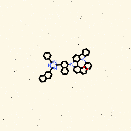 c1ccc(-c2nc(-c3ccc4ccccc4c3)nc(-c3ccc(-n4c5ccc6ccccc6c5c5c4ccc4c6ccccc6n(-c6ccccc6)c45)c4ccccc34)n2)cc1